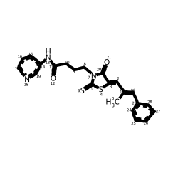 CC(/C=C1\SC(=S)N(CCCC(=O)Nc2cccnc2)C1=O)=C\c1ccccc1